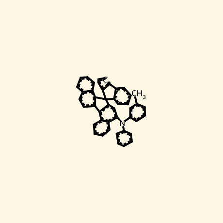 Cc1cccc(N(c2ccccc2)c2cc3c(c4ccccc24)-c2ccc4ccccc4c2C32c3ccccc3-c3ccccc32)c1